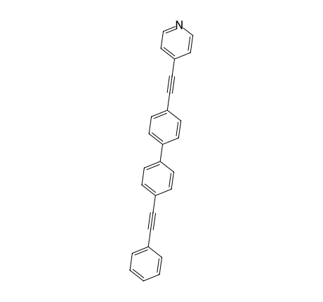 C(#Cc1ccc(-c2ccc(C#Cc3ccncc3)cc2)cc1)c1ccccc1